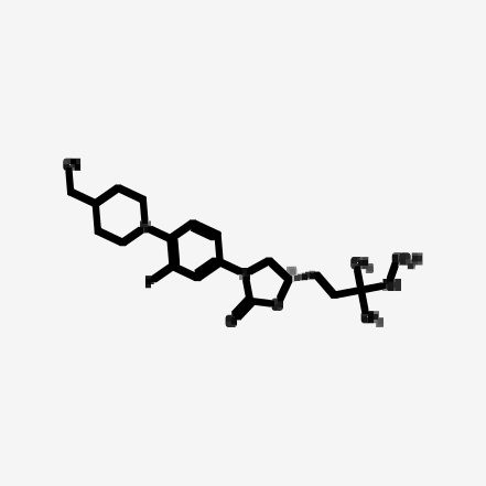 CC(C)(CC[C@H]1CN(c2ccc(N3CCC(CC#N)CC3)c(F)c2)C(=O)O1)NC(=O)O